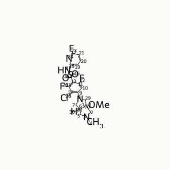 CO[C@]12CN(C)C[C@@H]1CN(c1cc(F)c(S(=O)(=O)Nc3cccc(F)n3)c(F)c1Cl)C2